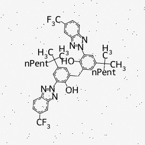 CCCCCC(C)(C)c1cc(Cc2cc(C(C)(C)CCCCC)cc(-n3nc4ccc(C(F)(F)F)cc4n3)c2O)c(O)c(-n2nc3ccc(C(F)(F)F)cc3n2)c1